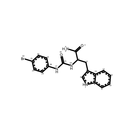 NC(=O)C(Cc1c[nH]c2ccccc12)NC(=O)Nc1ccc(Br)cc1